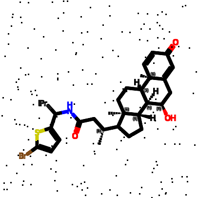 CC(C)C(NC(=O)C[C@@H](C)C1CC[C@H]2[C@@H]3[C@H](O)CC4=CC(=O)C=C[C@]4(C)[C@H]3CC[C@]12C)c1ccc(Br)s1